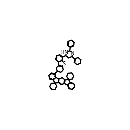 C1=CC2C3=C(CCC(c4cccc5c4C4CC6=C(C=C4C54CCCCC4)C4=CCCC=C4C64CCCCC4)C3)SC2C(C2CC(C3=CCCCC3)N=C(C3=CCCC=C3)N2)=C1